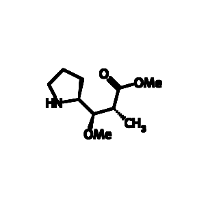 COC(=O)[C@H](C)[C@@H](OC)[C@@H]1CCCN1